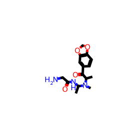 CC(NC(=O)CN)N(C)C(C)C(=O)c1ccc2c(c1)OCO2